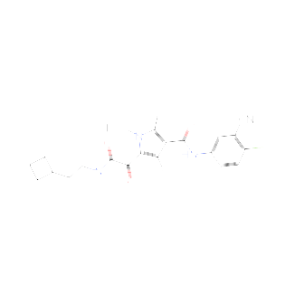 Cc1c(C(=O)Nc2ccc(F)c(C#N)c2)c(C)n(C)c1C(=O)C(=O)NCCC1CCC1